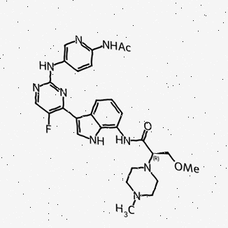 COC[C@H](C(=O)Nc1cccc2c(-c3nc(Nc4ccc(NC(C)=O)nc4)ncc3F)c[nH]c12)N1CCN(C)CC1